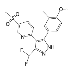 COc1ccc(-c2[nH]nc(C(F)F)c2-c2ccc(S(C)(=O)=O)cn2)cc1C